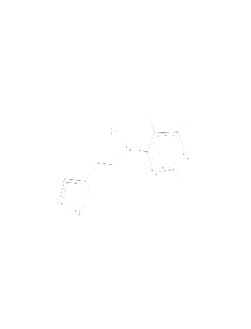 Cc1nc(Cl)nc(N(CCc2cn[nH]c2)C(C)C)c1C